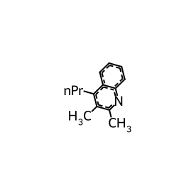 CCCc1c(C)c(C)nc2ccccc12